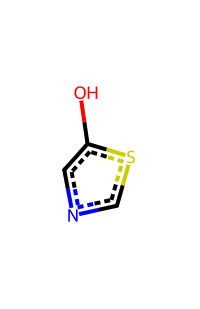 Oc1cncs1